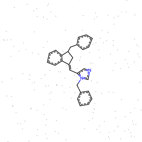 C(=C1CC(Cc2ccccc2)c2ccccc21)c1cncn1Cc1ccccc1